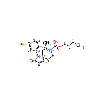 CCCCOC(=O)N1CC[C@]2(C=CC(=O)N2c2cccc(F)c2)C[C@@H]1C